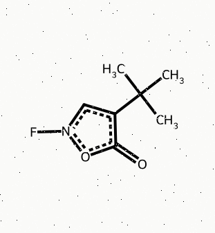 CC(C)(C)c1cn(F)oc1=O